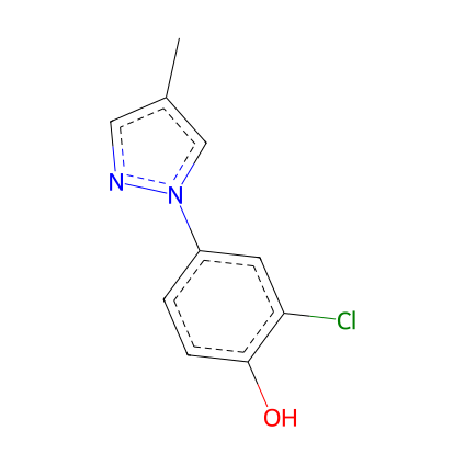 Cc1cnn(-c2ccc(O)c(Cl)c2)c1